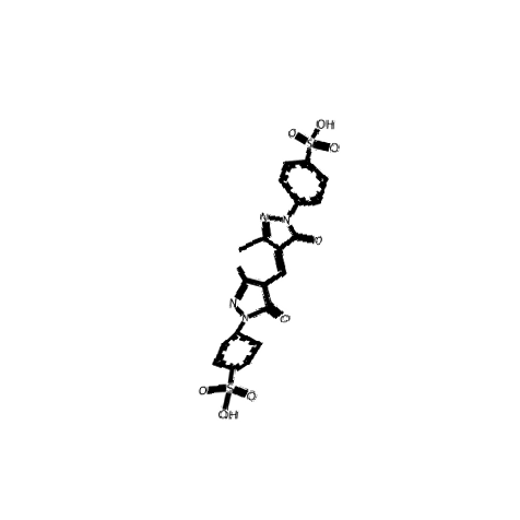 CC1=NN(c2ccc(S(=O)(=O)O)cc2)C(=O)C1=CC1C(=O)N(c2ccc(S(=O)(=O)O)cc2)N=C1C